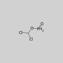 O=[PH2]OC(Cl)Cl